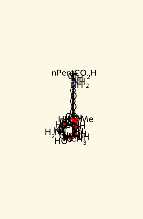 CCCCCC(CC(=O)O)C(=O)NC/C(N)=C/NCCOCCOCCOCCOCCOCCSCc1c(OC)ccc2c3c([nH]c12)[S+]([O-])C[C@H]1NC(=O)CNC(=O)[C@H]([C@@H](C)CC)NC(=O)CCNC(=O)[C@H](C3)NC(=O)[C@H]([C@@H](C)[C@@H](O)CO)NC(=O)[C@@H]2C[C@@H](O)CN2C(=O)[C@H](CC(N)=O)NC1=O